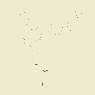 CC(C)CNc1nc(-c2ccc(S(=O)(=O)NC3CC3)cc2)cn2c(-c3ccc(C(=O)NC4CC4)cc3)cnc12